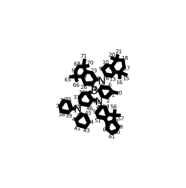 Cc1cc2c3c(c1)N(c1ccc4c(c1)C(C)(C)CCC4(C)C)c1cc4c(cc1B3c1ccc(N(c3ccccc3)c3ccccc3)cc1N2c1ccc2c(c1)C(C)(C)c1ccccc1-2)C(C)(C)CCC4(C)C